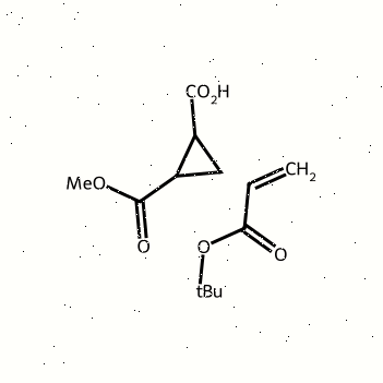 C=CC(=O)OC(C)(C)C.COC(=O)C1CC1C(=O)O